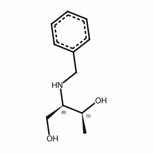 C[C@H](O)[C@@H](CO)NCc1ccccc1